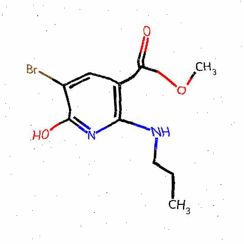 CCCNc1nc(O)c(Br)cc1C(=O)OC